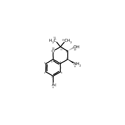 CC(=O)c1ccc2c(c1)[C@H](N)[C@@H](O)C(C)(C)O2